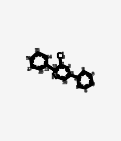 Clc1cc(-c2ccccc2)cnc1-c1ccccc1